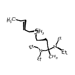 CC=C[SiH2]CCC(C)(N(CC)CC)N(CC)CC